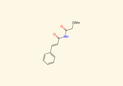 COCC(=O)NC(=O)/C=C/c1ccccc1